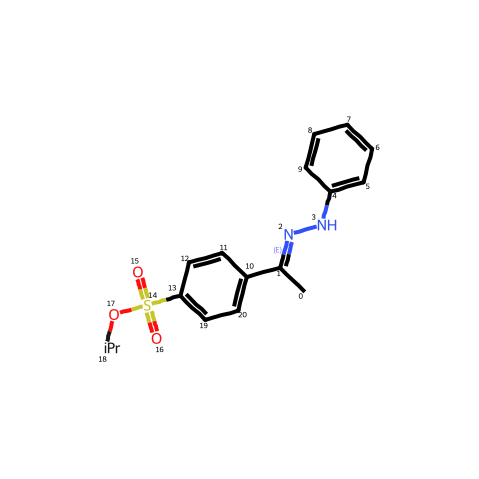 C/C(=N\Nc1ccccc1)c1ccc(S(=O)(=O)OC(C)C)cc1